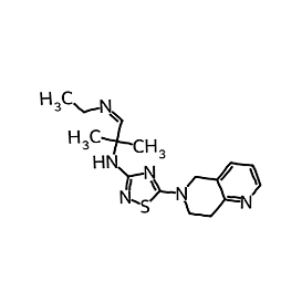 CC/N=C\C(C)(C)Nc1nsc(N2CCc3ncccc3C2)n1